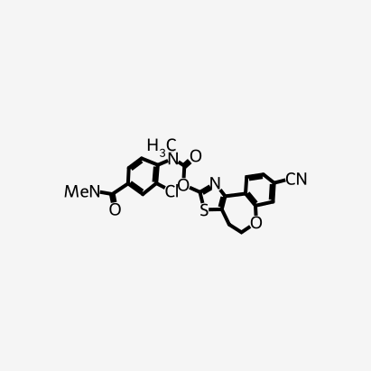 CNC(=O)c1ccc(N(C)C(=O)Oc2nc3c(s2)CCOc2cc(C#N)ccc2-3)c(Cl)c1